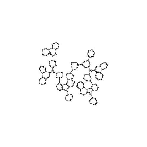 c1ccc(-c2cc(-c3cccc(-c4ccc5c(ccc6c5c5c(-c7cccc(N(c8ccc(-c9cc%10ccccc%10c%10ccccc9%10)cc8)c8cc9ccccc9c9ccccc89)c7)cccc5n6-c5ccccc5)c4)c3)cc(N(c3cccc(-c4cccc5c4c4c6ccccc6ccc4n5-c4ccccc4)c3)c3cc4ccccc4c4ccccc34)c2)cc1